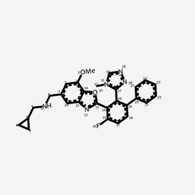 COc1cc(CNCC2CC2)cc2nc(-c3c(F)ccc(-c4ccccc4)c3-c3nncn3C)oc12